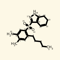 CCCCCc1cc(C)c(N)cc1S(=O)(=O)c1n[nH]c2c1C=CCC2